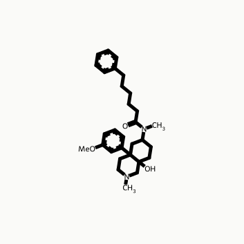 COc1cccc(C23CCN(C)CC2(O)CCC(N(C)C(=O)CCCCCc2ccccc2)C3)c1